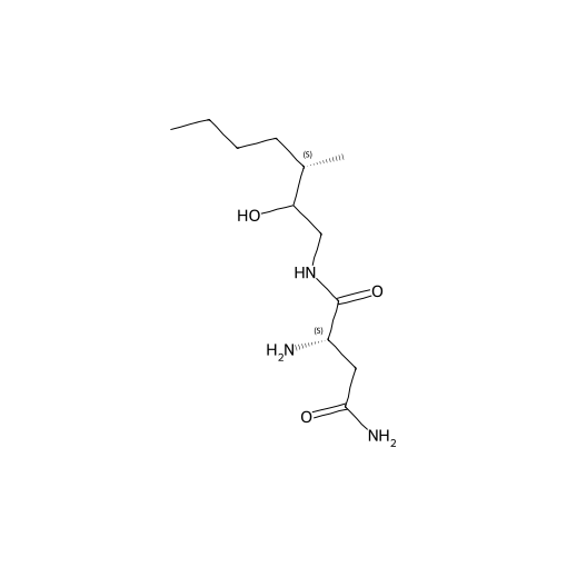 CCCC[C@H](C)C(O)CNC(=O)[C@@H](N)CC(N)=O